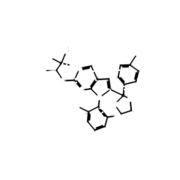 C[C@H](Nc1ncc2cc(C3(c4ccc(F)cc4)OCCO3)n(-c3c(F)cccc3F)c2n1)C(C)(C)O